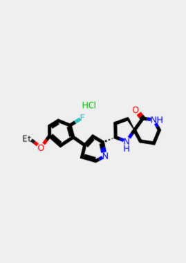 CCOc1ccc(F)c(-c2ccnc([C@@H]3CC[C@@]4(CCCNC4=O)N3)c2)c1.Cl